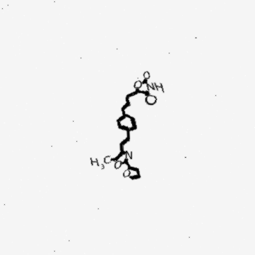 Cc1oc(-c2ccco2)nc1C=Cc1ccc(C=CC=C2OC(=O)NC2=O)cc1